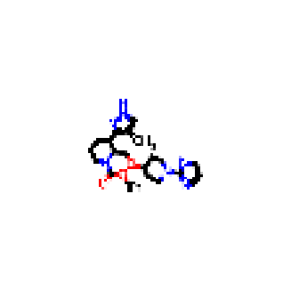 Cc1c[nH]nc1C1CCCN(C(=O)OC(C)C)C1COC1CCN(c2ncccn2)CC1